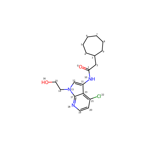 O=C(CC1CCCCCC1)Nc1cn(CCO)c2nccc(Cl)c12